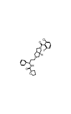 O=C(NC(CCN1CC2CN(C(=O)c3c(F)cccc3Cl)C[C@@H]2C1)c1ccccc1)C1CCCO1